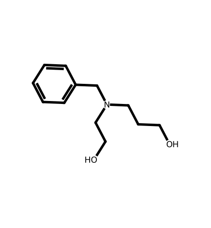 OCCCN(CCO)Cc1ccccc1